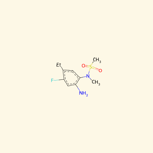 CCc1cc(N(C)S(C)(=O)=O)c(N)cc1F